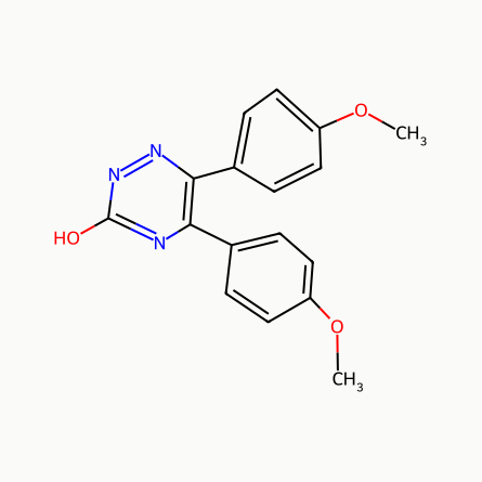 COc1ccc(-c2nnc(O)nc2-c2ccc(OC)cc2)cc1